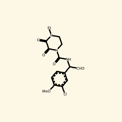 CCN1CCN(C(=O)NC([C]=O)c2ccc(OC)c(Cl)c2)C(=O)C1=O